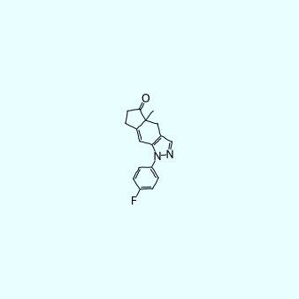 CC12Cc3cnn(-c4ccc(F)cc4)c3C=C1CCC2=O